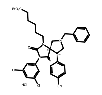 CCOC(=O)CCCCCN1C(=O)N(c2cc(Cl)cc(Cl)c2)C(=O)[C@]12CN(Cc1ccccc1)C[C@H]2c1ccc(C#N)cc1.Cl